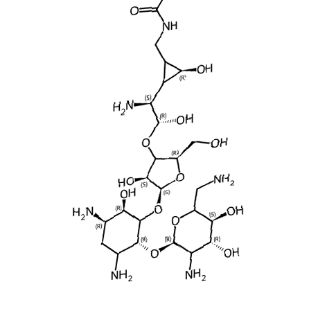 CC(=O)NCC1C([C@H](N)[C@H](O)OC2[C@@H](CO)O[C@@H](OC3[C@H](O[C@H]4OC(CN)[C@@H](O)[C@H](O)C4N)C(N)C[C@@H](N)[C@H]3O)[C@H]2O)[C@@H]1O